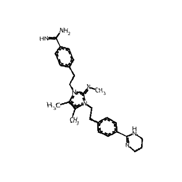 CN=c1n(CCc2ccc(C(=N)N)cc2)c(C)c(C)n1CCc1ccc(C2=NCCCN2)cc1